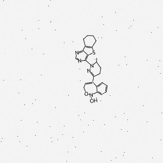 CC1CCC(C2=CCON(O)c3ccccc32)=NN1c1ncnc2c3c(sc12)CCCC3